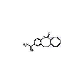 N=C(N)c1ccc2c(c1)CCC1=C/C=C\C=C/C=C\1C(=O)O2